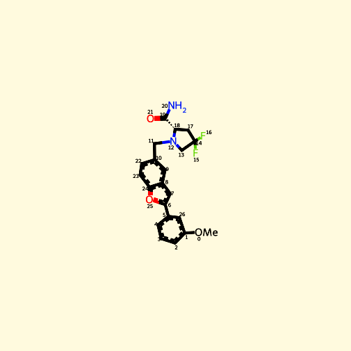 COc1cccc(-c2cc3cc(CN4CC(F)(F)C[C@H]4C(N)=O)ccc3o2)c1